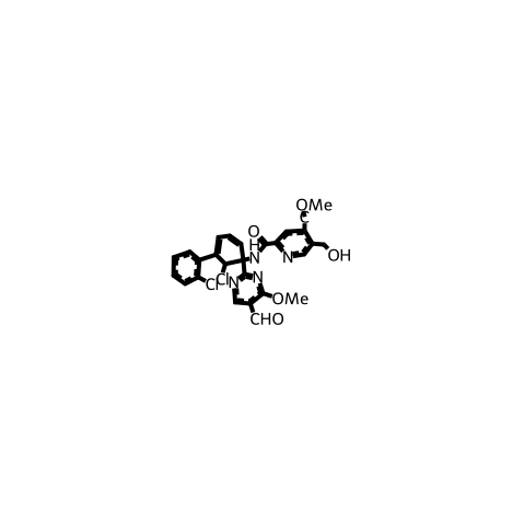 COCc1cc(C(=O)NC2(c3ncc(C=O)c(OC)n3)C=CC=C(c3ccccc3Cl)C2Cl)ncc1CO